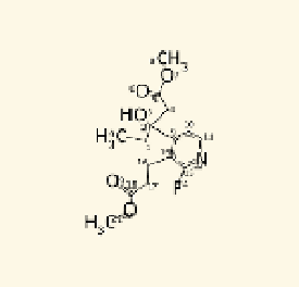 CCC(O)(CC(=O)OC)c1ccnc(F)c1CCC(=O)OC